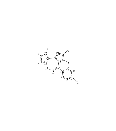 Cc1[nH]c2c(c1C)C(c1ccc(Cl)cc1)=NCc1nnc(C)n1-2